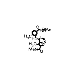 CNC(=O)c1cn2ncnc(Nc3cc(C(=O)NOC)ccc3C)c2c1C